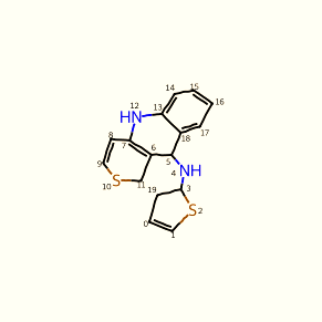 C1=CSC(NC2C3=C(C=CSC3)Nc3ccccc32)C1